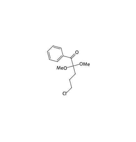 COC(CCCCl)(OC)C(=O)c1ccccc1